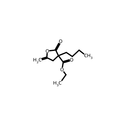 C=C1CC(CCCC)(C(=O)OCC)C(=O)O1